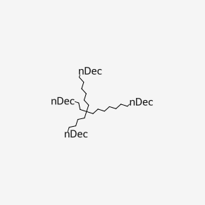 CCCCCCCCCCCCCCCCCC(CCCCCCCCCCCC)(CCCCCCCCCCCCCC)CCCCCCCCCCCCCCCC